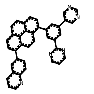 c1cnc(-c2cc(-c3cncnc3)cc(-c3ccc4ccc5ccc(-c6ccc7ncccc7c6)c6ccc3c4c56)c2)nc1